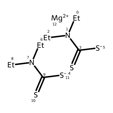 CCN(CC)C(=S)[S-].CCN(CC)C(=S)[S-].[Mg+2]